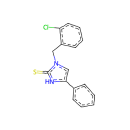 S=c1[nH]c(-c2ccccc2)cn1Cc1ccccc1Cl